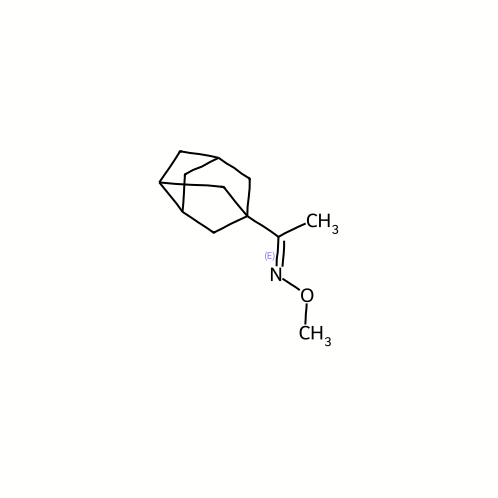 CO/N=C(\C)C12CC3CC(C1)C(C3)C2